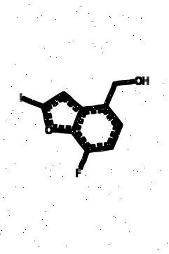 OCc1ccc(F)c2oc(I)cc12